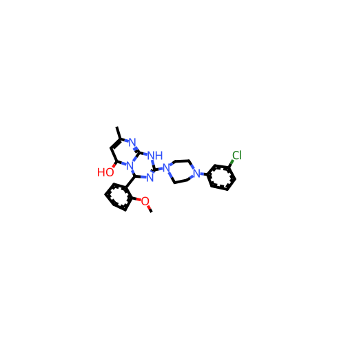 COc1ccccc1C1N=C(N2CCN(c3cccc(Cl)c3)CC2)NC2=NC(C)=CC(O)N21